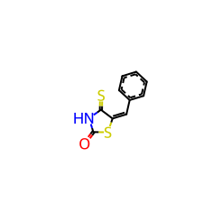 O=C1NC(=S)/C(=C\c2ccccc2)S1